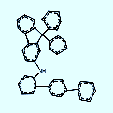 c1ccc(-c2ccc(-c3ccccc3Nc3ccc4c(c3)C(c3ccccc3)(c3ccccc3)c3ccccc3-4)cc2)cc1